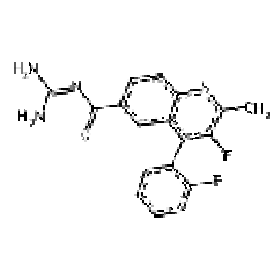 Cc1nc2ccc(C(=O)N=C(N)N)cc2c(-c2ccccc2F)c1F